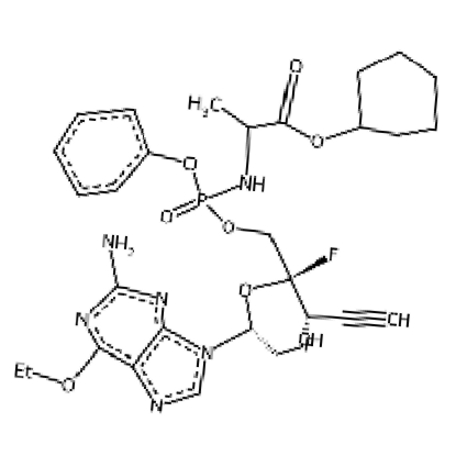 C#C[C@H](O)[C@@](F)(COP(=O)(NC(C)C(=O)OC1CCCCC1)Oc1ccccc1)O[C@H](CF)n1cnc2c(OCC)nc(N)nc21